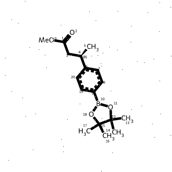 COC(=O)C[C@@H](C)c1ccc(B2OC(C)(C)C(C)(C)O2)cc1